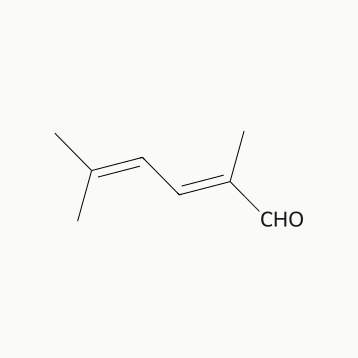 CC(C)=CC=C(C)C=O